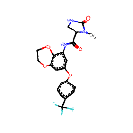 CN1C(=O)NCC1C(=O)Nc1cc(Oc2ccc(C(F)(F)F)cc2)cc2c1OCCO2